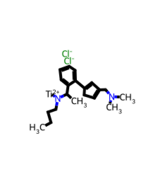 CCCC[N]([Ti+2])C(C)c1ccccc1C1=CC(CN(C)C)=CC1.[Cl-].[Cl-]